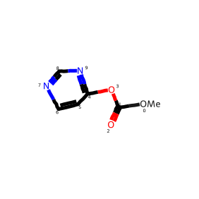 COC(=O)Oc1ccncn1